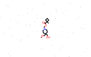 COCC1(CO)CCN(COC(=O)C2(C)CCC2)CC1